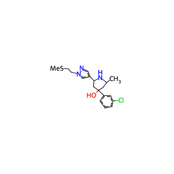 CSCCn1cc(C2CC(O)(c3cccc(Cl)c3)CC(C)N2)cn1